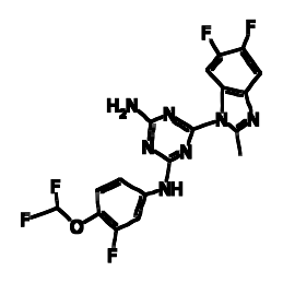 Cc1nc2cc(F)c(F)cc2n1-c1nc(N)nc(Nc2ccc(OC(F)F)c(F)c2)n1